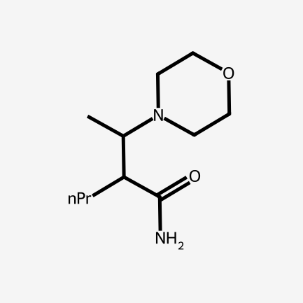 CCCC(C(N)=O)C(C)N1CCOCC1